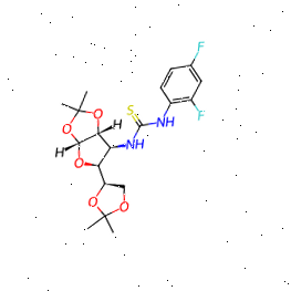 CC1(C)O[C@H]2O[C@H]([C@H]3COC(C)(C)O3)[C@H](NC(=S)Nc3ccc(F)cc3F)[C@H]2O1